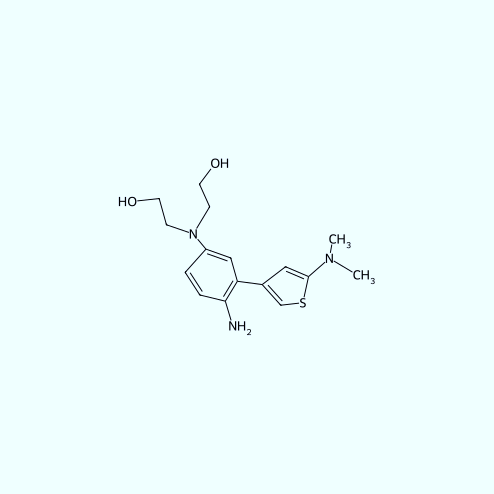 CN(C)c1cc(-c2cc(N(CCO)CCO)ccc2N)cs1